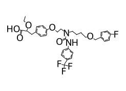 CCOC(Cc1ccc(OCCN(CCCCOCc2ccc(F)cc2)C(=O)Nc2ccc(C(F)(F)F)cc2)cc1)C(=O)O